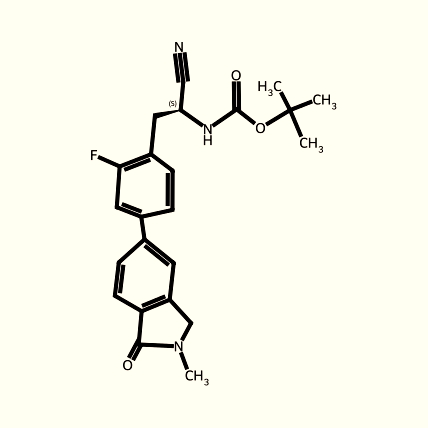 CN1Cc2cc(-c3ccc(C[C@@H](C#N)NC(=O)OC(C)(C)C)c(F)c3)ccc2C1=O